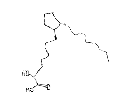 CCCCCCCC[C@H]1CCC[C@@H]1CCCCCC(O)C(=O)O